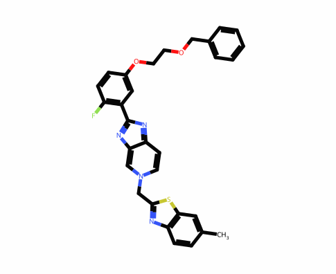 Cc1ccc2nc(Cn3ccc4nc(-c5cc(OCCOCc6ccccc6)ccc5F)nc-4c3)sc2c1